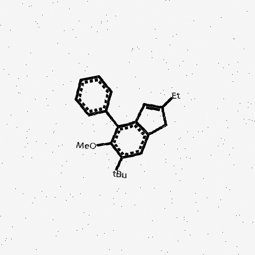 CCC1=Cc2c(cc(C(C)(C)C)c(OC)c2-c2ccccc2)C1